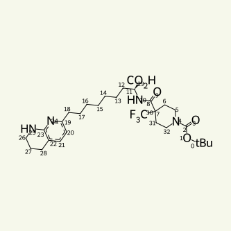 CC(C)(C)OC(=O)N1CCC(C(=O)N[C@@H](CCCCCCCc2ccc3c(n2)NCCC3)C(=O)O)(C(F)(F)F)CC1